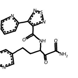 NC(=O)C(=O)C(CCc1cccnc1)NC(=O)c1nsnc1-c1ccccn1